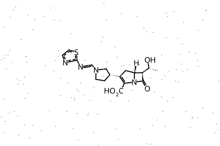 C[C@@H](O)[C@H]1C(=O)N2C(C(=O)O)=C([C@@H]3CCN(/C=N/c4nccs4)C3)C[C@H]12